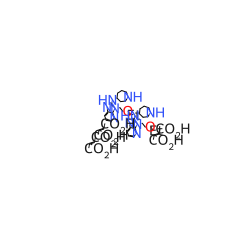 CCOCCn1c(NC2CCCNCC2)nc2cccnc21.CCOCCn1c(NC2CCCNCC2)nc2cccnc21.O=C(O)C=CC(=O)O.O=C(O)C=CC(=O)O.O=C(O)C=CC(=O)O